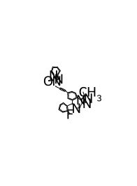 Cc1nnc2n1-c1ccc(C#CCn3nc4ccccn4c3=O)cc1C(c1ccccc1F)=NC2